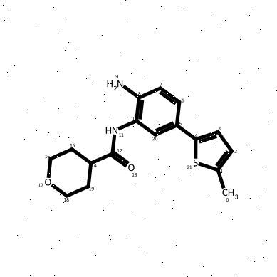 Cc1ccc(-c2ccc(N)c(NC(=O)C3CCOCC3)c2)s1